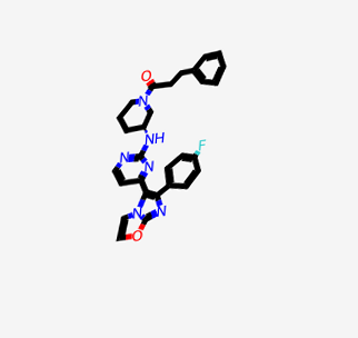 O=C(CCc1ccccc1)N1CCC[C@@H](Nc2nccc(-c3c(-c4ccc(F)cc4)nc4occn34)n2)C1